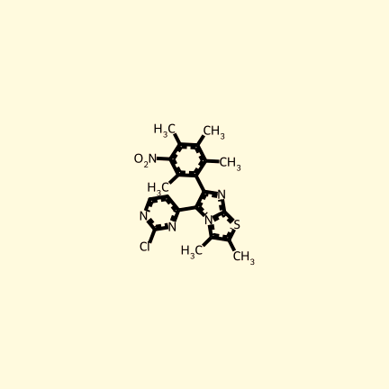 Cc1sc2nc(-c3c(C)c(C)c(C)c([N+](=O)[O-])c3C)c(-c3ccnc(Cl)n3)n2c1C